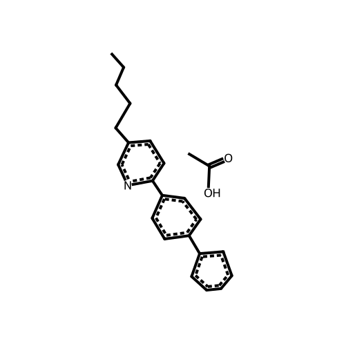 CC(=O)O.CCCCCc1ccc(-c2ccc(-c3ccccc3)cc2)nc1